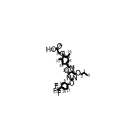 CCCOc1nc(Oc2ccc(C(F)(F)F)cc2)nc2oc(-c3cc(C)c(OCC(=O)O)c(C)c3)nc12